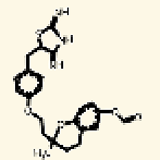 CC1(CCOc2ccc(CC3SC(=N)NC3=N)cc2)CCc2cc(OC=O)ccc2O1